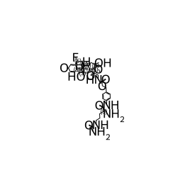 CO[C@]1(C(=O)CNC(=O)OCc2ccc(NC(=O)[C@@H](N)CCCNC(N)=O)cc2)[C@H](O)C[C@H]2[C@@H]3C[C@H](F)C4=CC(=O)C=C[C@]4(C)[C@@]3(F)[C@@H](O)C[C@@]21C